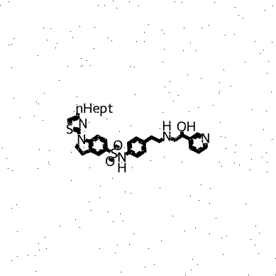 CCCCCCCc1csc(N2CCc3cc(S(=O)(=O)Nc4ccc(CCNCC(O)c5cccnc5)cc4)ccc32)n1